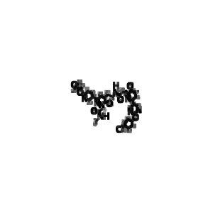 CCNC(=O)Cn1nc(-c2ccc(OC3(C)COC3)nc2)cc(CCNC(=O)Cn2nc(-c3cnc(Oc4ccc(Cl)cc4)nc3)ccc2=O)c1=O